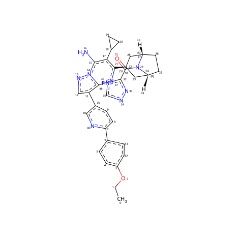 CCOc1ccc(-c2ccc(-c3cnn4c(N)c(C5CC5)c([C@@H]5C[C@H]6CC[C@@H](C5)N6C(=O)c5nnc[nH]5)nc34)cn2)cc1